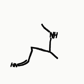 CNC(C)CC=N